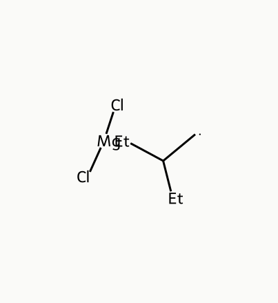 [CH2]C(CC)CC.[Cl][Mg][Cl]